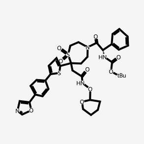 CC(C)(C)OC(=O)N[C@H](C(=O)N1CCC(CC(=O)NOC2CCCCO2)(c2ccc(-c3ccc(-c4cnco4)cc3)s2)S(=O)(=O)CC1)c1ccccc1